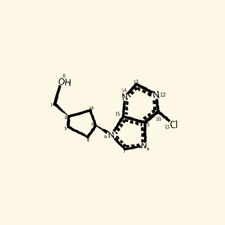 OC[C@@H]1CC[C@H](n2cnc3c(Cl)ncnc32)C1